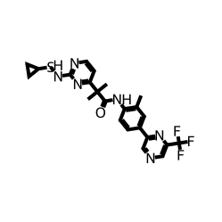 Cc1cc(-c2cncc(C(F)(F)F)n2)ccc1NC(=O)C(C)(C)c1ccnc(NSC2CC2)n1